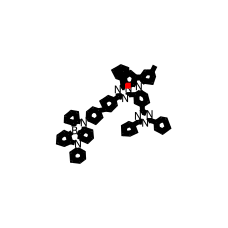 Cc1ccc2c(c1)c1cc(C)ccc1n2-c1ccc(-c2nc(-c3ccccc3)nc(-c3ccccc3)n2)cc1-c1nc(-c2ccccc2)nc(-c2ccc(-c3ccc(N4c5ccccc5B5c6ccccc6N(c6ccccc6)c6cccc4c65)cc3)cc2)n1